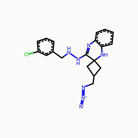 [N-]=[N+]=NCC1CC2(C1)Nc1ccccc1N=C2NNCc1cccc(Cl)c1